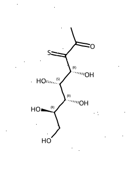 CC(=O)C(=S)[C@H](O)[C@@H](O)[C@H](O)[C@H](O)CO